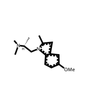 COc1ccc2c(c1)cc(C)n2C[C@@H](C)N(C)C